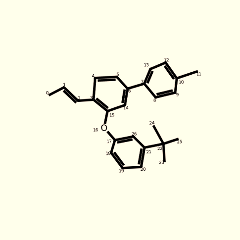 C/C=C/c1ccc(-c2ccc(C)cc2)cc1Oc1cccc(C(C)(C)C)c1